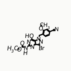 COC(=O)Nc1nc(O)c2c(n1)c(Br)nn2Cc1ccc(C#N)cc1OC